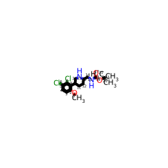 COc1ccc(Cl)c(Cl)c1C1CCC(CNC(=O)OC(C)(C)C)NC1